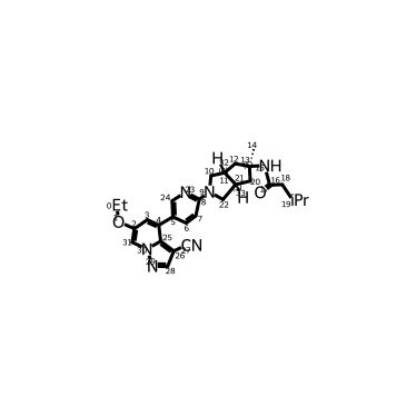 CCOc1cc(-c2ccc(N3C[C@@H]4C[C@@](C)(NC(=O)CC(C)C)C[C@@H]4C3)nc2)c2c(C#N)cnn2c1